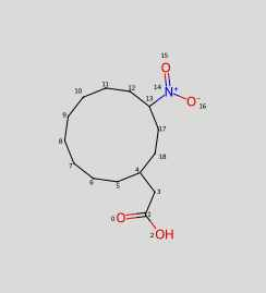 O=C(O)CC1CCCCCCCCC([N+](=O)[O-])CC1